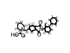 Cc1c(-c2ccccc2)cccc1N1C(=O)c2ccc(CN3CCCC[C@H]3C(=O)O)cc2C1=O